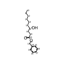 CCCCCC[C@H](O)CCC(=O)OCc1ccccc1